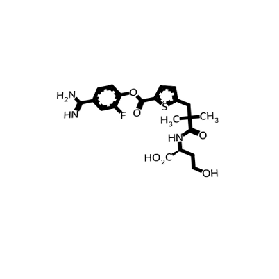 CC(C)(Cc1ccc(C(=O)Oc2ccc(C(=N)N)cc2F)s1)C(=O)N[C@@H](CCO)C(=O)O